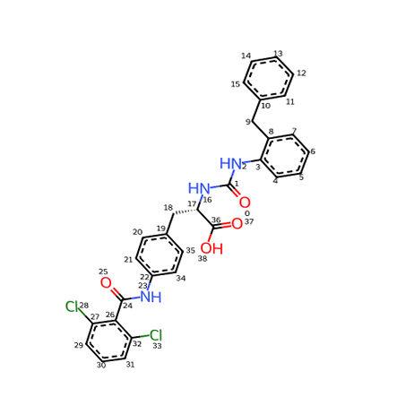 O=C(Nc1ccccc1Cc1ccccc1)N[C@@H](Cc1ccc(NC(=O)c2c(Cl)cccc2Cl)cc1)C(=O)O